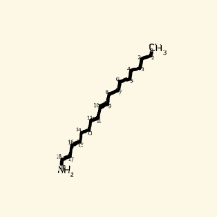 CCCCCCCCC/C=C/CCCCCCCCN